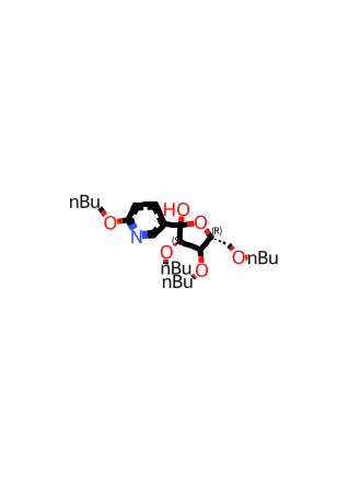 CCCCOC[C@H]1OC(O)(c2ccc(OCCCC)nc2)[C@@H](OCCCC)C1OCCCC